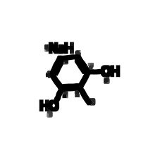 Cc1c(O)cccc1O.[NaH]